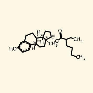 CCCCC(CC)C(=O)O[C@H]1CC[C@H]2[C@@H]3CCc4cc(O)ccc4[C@H]3CC[C@]12C